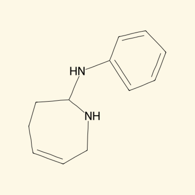 C1=CCNC(Nc2ccccc2)CC1